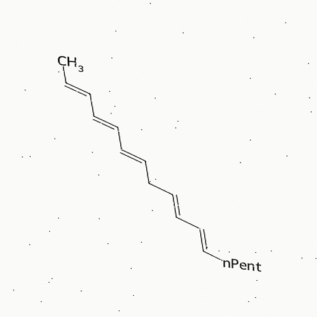 [CH2]CCCCC=CC=CCC=CC=CC=CC